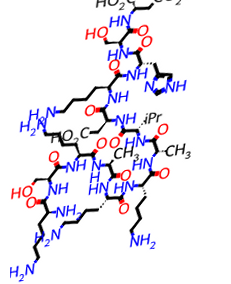 CC(C)[C@H](NC(=O)[C@H](C)NC(=O)[C@H](CCCCN)NC(=O)[C@H](CCCCN)NC(=O)[C@H](C)NC(=O)[C@H](CCCCN)NC(=O)[C@H](CO)NC(=O)[C@@H](N)CCCCN)C(=O)N[C@@H](CC(=O)O)C(=O)N[C@@H](CCCCN)C(=O)N[C@@H](Cc1c[nH]cn1)C(=O)N[C@@H](CO)C(=O)N[C@@H](CC(=O)O)C(=O)O